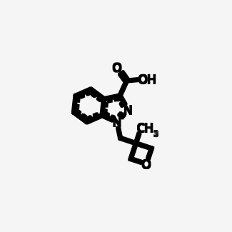 CC1(Cn2nc(C(=O)O)c3ccccc32)COC1